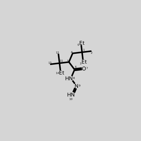 CCC(C)(CC)CC(C(=O)NN=N)C(C)(C)CC